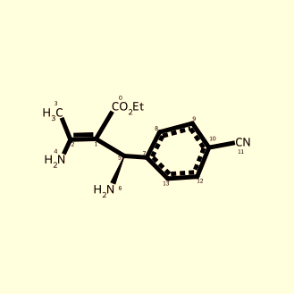 CCOC(=O)/C(=C(\C)N)[C@H](N)c1ccc(C#N)cc1